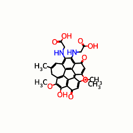 COc1c(O)c2c(=O)cc(OC)c3c4c(OC)cc(=O)c5c(NCC(=O)O)c(NCC(=O)O)c6c(c(c1CC(C)=C6)c23)c54